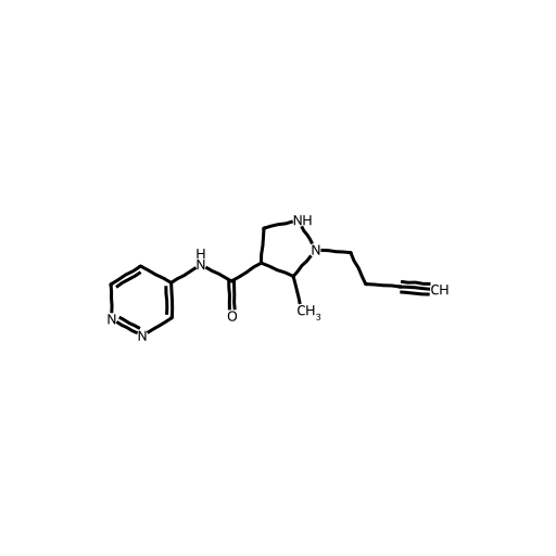 C#CCCN1NCC(C(=O)Nc2ccnnc2)C1C